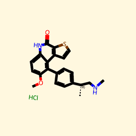 CNC[C@H](C)c1ccc(-c2c(OC)ccc3[nH]c(=O)c4sccc4c23)cc1.Cl